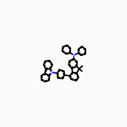 CC1(C)c2cc(N(c3ccccc3)c3ccccc3)ccc2-c2c(-c3ccc(-n4c5ccccc5c5ccccc54)cc3)cccc21